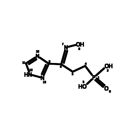 O=P(O)(O)CCC(=NO)c1nc[nH]n1